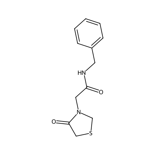 O=C(CN1CSCC1=O)NCc1ccccc1